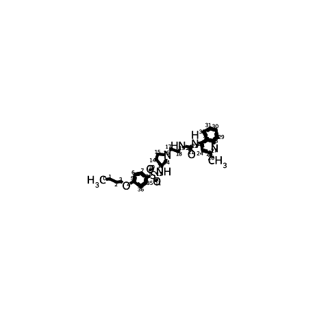 CCCCOc1ccc(S(=O)(=O)NC2CCN(CCNC(=O)Nc3cc(C)nc4ccccc34)C2)cc1